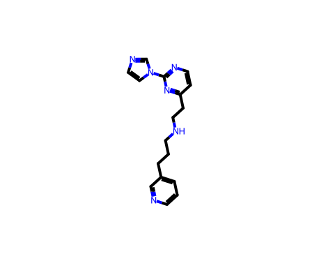 c1cncc(CCCNCCc2ccnc(-n3ccnc3)n2)c1